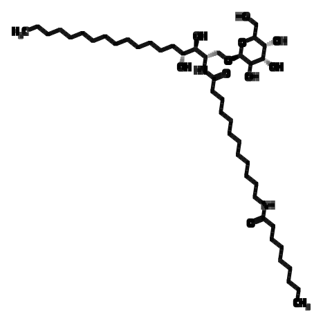 CCCCCCCCCCCCCC[C@@H](O)[C@@H](O)[C@H](CO[C@H]1OC(CO)[C@H](O)[C@H](O)C1O)NC(=O)CCCCCCCCCCCNC(=O)CCCCCCCC